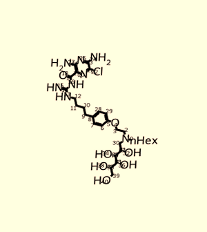 CCCCCCN(CCOc1ccc(CCCCNC(=N)NC(=O)c2nc(Cl)c(N)nc2N)cc1)C[C@H](O)[C@@H](O)[C@H](O)[C@@H](O)CO